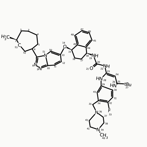 C[C@H]1CCCCC(c2nnc3ccc(O[C@@H]4CC[C@H](NC(=O)N/C(=C/C(=N)C(C)(C)C)Nc5ccc(F)c(CN6CCN(C)CC6)c5)c5ccccc54)cn23)CC1